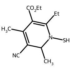 CCOC(=O)C1=C(CC)N(S)C(C)C(C#N)=C1C